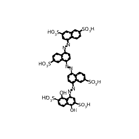 O=S(=O)(O)c1ccc2c(N=Nc3ccc(N=Nc4ccc(N=Nc5cc(S(=O)(=O)O)c(O)c6ccc(S(=O)(=O)O)c(O)c56)c5cc(S(=O)(=O)O)ccc45)c4cc(S(=O)(=O)O)ccc34)cc(S(=O)(=O)O)cc2c1